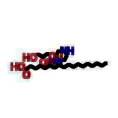 C1CNCCN1.CCCCCCCCCCCCCCCCCC(=O)O.OCC(O)CO